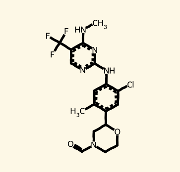 CNc1nc(Nc2cc(C)c(C3CN(C=O)CCO3)cc2Cl)ncc1C(F)(F)F